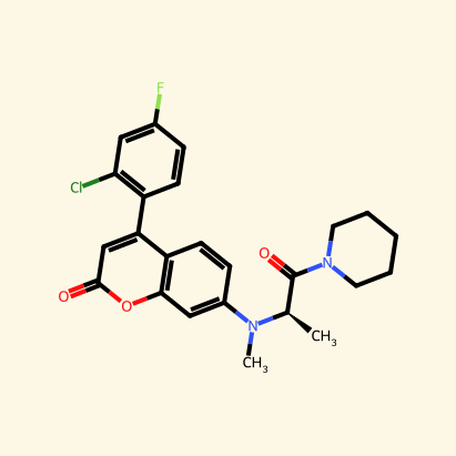 C[C@H](C(=O)N1CCCCC1)N(C)c1ccc2c(-c3ccc(F)cc3Cl)cc(=O)oc2c1